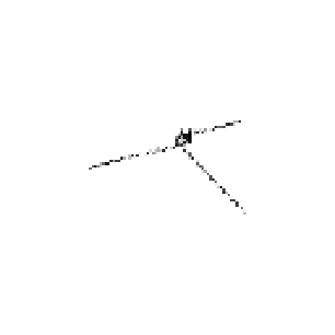 CCCCCCCCCCCCCCCCCCCc1cc[n+](CCCCCCCCCCCC)cc1CCCCCCCCCCCCCCCCCCC